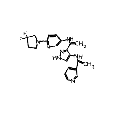 C=C(Nc1c[nH]nc1C(=C)Nc1ccc(N2CCC(F)(F)C2)nc1)c1cccnc1